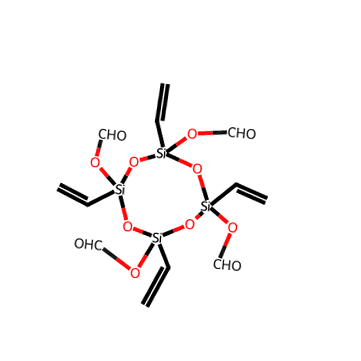 C=C[Si]1(OC=O)O[Si](C=C)(OC=O)O[Si](C=C)(OC=O)O[Si](C=C)(OC=O)O1